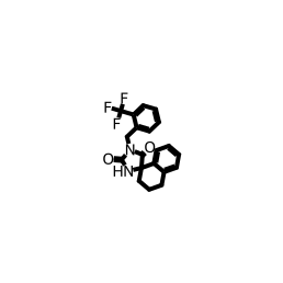 O=C1NC2(CCCc3ccccc32)C(=O)N1Cc1ccccc1C(F)(F)F